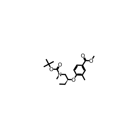 CC[C@@H](CN(C)C(=O)OC(C)(C)C)Oc1ccc(C(=O)OC)cc1C